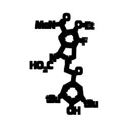 CCOc1c(C(=O)NC)cc2c(c1F)CN(CC(=O)c1cc(C(C)(C)C)c(O)c(C(C)(C)C)c1)C2=NC(=O)O